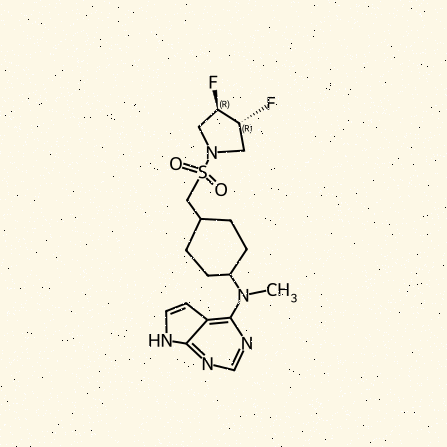 CN(c1ncnc2[nH]ccc12)C1CCC(CS(=O)(=O)N2C[C@@H](F)[C@H](F)C2)CC1